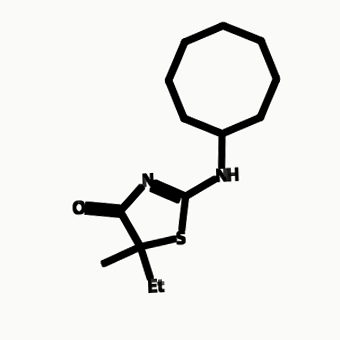 CCC1(C)SC(NC2CCCCCCC2)=NC1=O